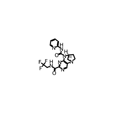 O=C(NCC(F)(F)F)c1ncc2c(n1)N(C(=O)Nc1ccccn1)[C@H]1CCN2C1